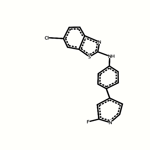 Fc1cc(-c2ccc(Nc3nc4ccc(Cl)cc4s3)cc2)ccn1